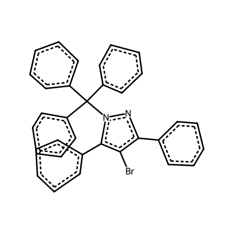 Brc1c(-c2ccccc2)nn(C(c2ccccc2)(c2ccccc2)c2ccccc2)c1-c1ccccc1